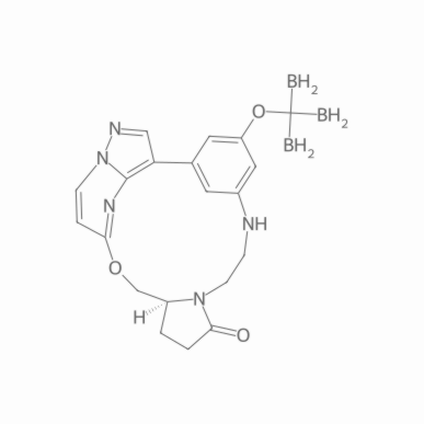 BC(B)(B)Oc1cc2cc(c1)-c1cnn3ccc(nc13)OC[C@@H]1CCC(=O)N1CCN2